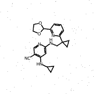 N#Cc1cnc(NCC2(c3cccc(C4OCCO4)n3)CC2)cc1NC1CC1